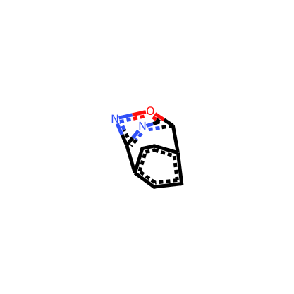 c1cc2ccc1-c1noc-2n1